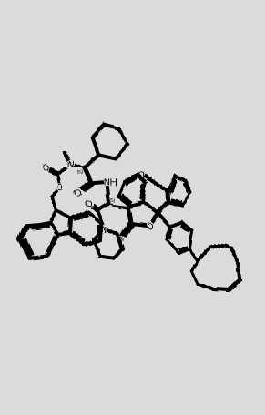 CN(C(=O)OCC1c2ccccc2-c2ccccc21)[C@H](C(=O)N[C@@H](CC(=O)OC(c1ccccc1)(c1ccc(C2CCCCCCCC2)cc1)c1ccccc1Cl)C(=O)N1CCCCC1)C1CCCCC1